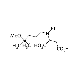 CCN(CCC[Si](C)(C)OC)[C@@H](CC(=O)O)C(=O)O